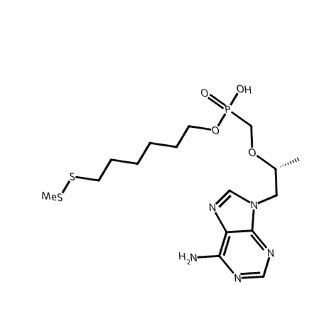 CSSCCCCCCOP(=O)(O)CO[C@H](C)Cn1cnc2c(N)ncnc21